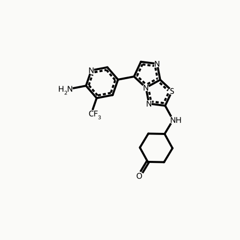 Nc1ncc(-c2cnc3sc(NC4CCC(=O)CC4)nn23)cc1C(F)(F)F